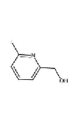 OCc1cccc(I)n1